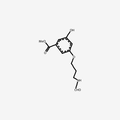 COC(=O)c1cc(O)cc(OCCCNC=O)c1